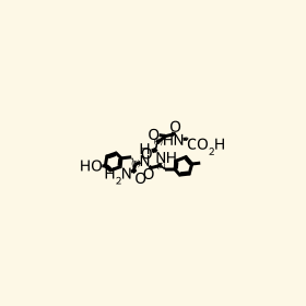 Cc1ccc(C[C@H](NC(=O)[C@H]2OC2C(=O)NCC(=O)O)C(=O)N[C@@H](Cc2ccc(O)cc2)C(N)=O)cc1